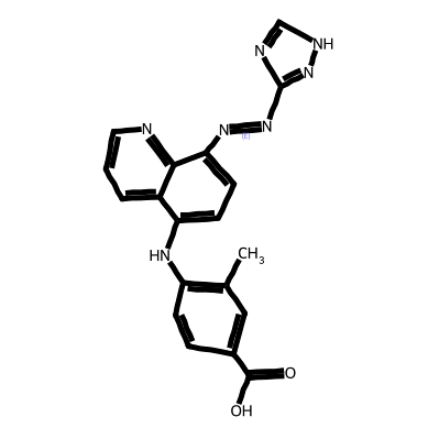 Cc1cc(C(=O)O)ccc1Nc1ccc(/N=N/c2nc[nH]n2)c2ncccc12